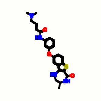 C[C@@H]1CNc2c(sc3ccc(Oc4cccc(NC(=O)/C=C/CN(C)C)c4)cc23)C(=O)N1